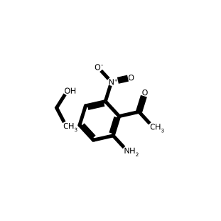 CC(=O)c1c(N)cccc1[N+](=O)[O-].CCO